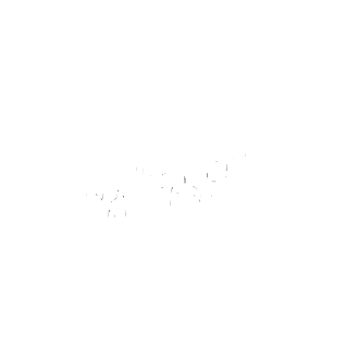 NC(N)=NCCC[C@H](NC(=O)[C@@H](N)c1ccc(O)cc1)C(=O)O